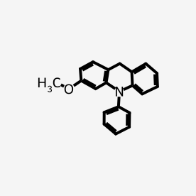 COc1ccc2c(c1)N(c1ccccc1)c1ccccc1C2